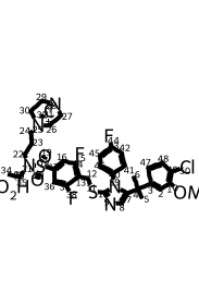 COc1cc(C(C)(C)c2cnc(SCc3c(F)cc(S(=O)(=O)N(CCC[N+]45CCN(CC4)CC5)[C@H](C)C(=O)O)cc3F)n2-c2ccc(F)cc2)ccc1Cl